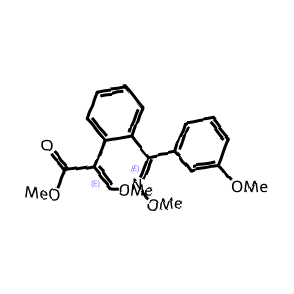 CO/C=C(/C(=O)OC)c1ccccc1/C(=N/OC)c1cccc(OC)c1